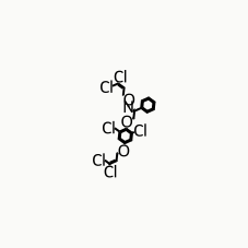 ClC(Cl)=CCON=C(COc1c(Cl)cc(OCC=C(Cl)Cl)cc1Cl)c1ccccc1